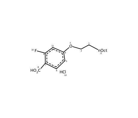 CCCCCCCCCCOc1ccc(C(=O)O)c(F)c1.Cl